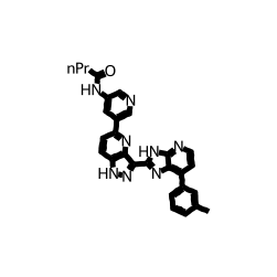 CCCC(=O)Nc1cncc(-c2ccc3[nH]nc(-c4nc5c(-c6cccc(C)c6)ccnc5[nH]4)c3n2)c1